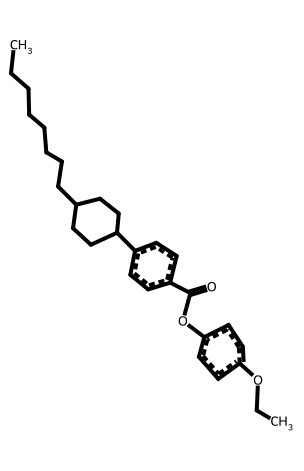 CCCCCCCCC1CCC(c2ccc(C(=O)Oc3ccc(OCC)cc3)cc2)CC1